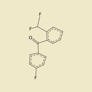 O=C(c1ccc(F)cc1)c1ccccc1C(F)F